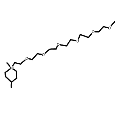 COCCOCCOCCOCCOCCOCC[N+]1(C)CCC(C)CC1